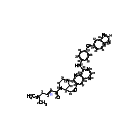 CN(C)C/C=C/C(=O)N1CCN2CC1COc1cc3ncnc(Nc4ccc(Oc5ccn6ncnc6c5)cc4)c3nc12